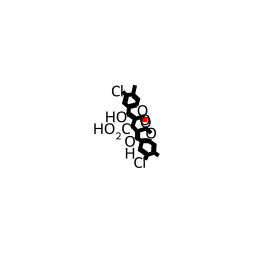 Cc1cc2oc(=O)c(C(C(=O)O)c3c(O)c4cc(Cl)c(C)cc4oc3=O)c(O)c2cc1Cl